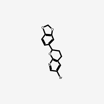 Brc1cnc2c(c1)CCC(c1ccc3c(c1)OCO3)O2